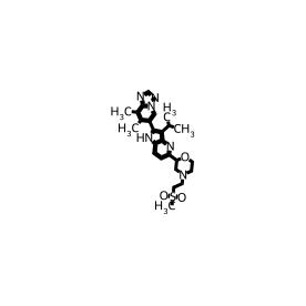 Cc1c(-c2[nH]c3ccc(C4CN(CCS(C)(=O)=O)CCO4)nc3c2C(C)C)cn2ncnc2c1C